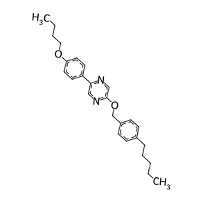 CCCCCc1ccc(COc2cnc(-c3ccc(OCCCC)cc3)cn2)cc1